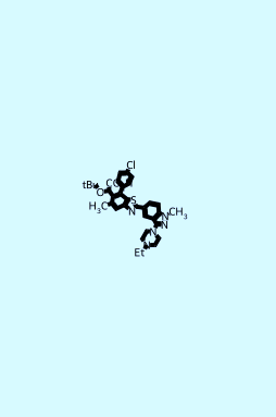 CCN1CCN(c2nn(C)c3ccc(-c4nc5cc(C)c(C(OC(C)(C)C)C(=O)O)c(-c6ccc(Cl)cc6)c5s4)cc23)CC1